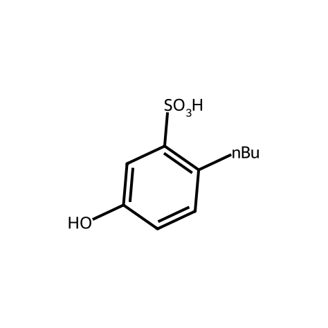 CCCCc1ccc(O)cc1S(=O)(=O)O